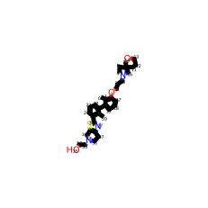 Cc1c(OCCCN2CCC3(CCCOC3)C2)cccc1-c1cccc(-c2nc3c(s2)CN(CCO)CC3)c1C